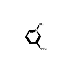 CC(=O)Nc1ccc[n+](C(C)(C)C)c1